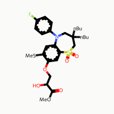 CCCCC1(CCCC)CN(c2ccc(F)cc2)c2cc(SC)c(OCC(O)C(=O)OC)cc2S(=O)(=O)C1